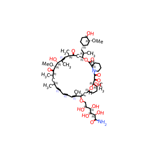 CO[C@@H]1C[C@H](C[C@@H](C)[C@@H]2CC(=O)[C@H](C)/C=C(\C)[C@@H](O)[C@@H](OC)C(=O)[C@H](C)C[C@H](C)/C=C/C=C/C=C(\C)C(OC[C@@H](O)[C@H](O)[C@H](O)[C@@H](O)C(N)=O)C[C@@H]3CC[C@@H](C)[C@@](O)(O3)C(=O)C(=O)N3CCCC[C@H]3C(=O)O2)CC[C@H]1O